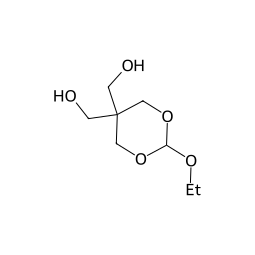 CCOC1OCC(CO)(CO)CO1